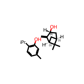 C=C1[C@H](O)C[C@@H]2C[C@H]1C2(C)C.Cc1ccc(C(C)C)c(O)c1